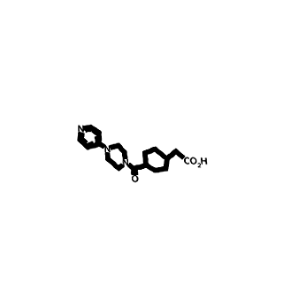 O=C(O)CC1CCC(C(=O)N2CCN(c3ccncc3)CC2)CC1